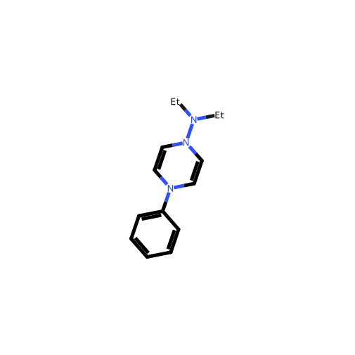 CCN(CC)N1C=CN(c2ccccc2)C=C1